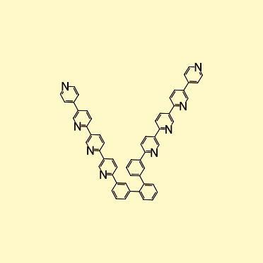 c1cc(-c2ccc(-c3ccc(-c4ccc(-c5ccncc5)cn4)cn3)cn2)cc(-c2ccccc2-c2cccc(-c3ccc(-c4ccc(-c5ccc(-c6ccncc6)cn5)cn4)cn3)c2)c1